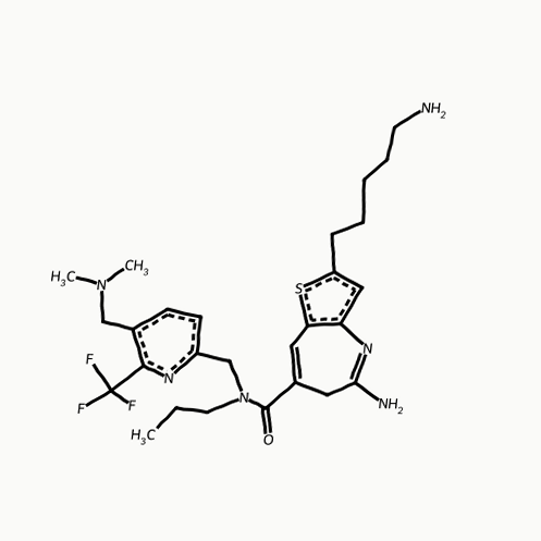 CCCN(Cc1ccc(CN(C)C)c(C(F)(F)F)n1)C(=O)C1=Cc2sc(CCCCCN)cc2N=C(N)C1